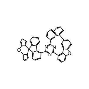 c1ccc(-c2ccc3oc4cccc(-c5nc(-c6ccccc6)nc(-c6cccc7c6-c6ccccc6C76c7ccccc7Oc7ccccc76)n5)c4c3c2)cc1